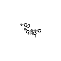 N#Cc1ccc2nccc(Nc3cccc(C(=O)Nc4cc(F)cc(Nc5ccccc5)c4)c3)c2c1